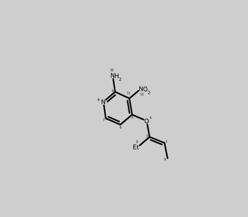 C/C=C(\CC)Oc1ccnc(N)c1[N+](=O)[O-]